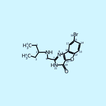 CCC(CC)NCc1nc2c(oc3ccc(Br)cc32)c(=O)[nH]1